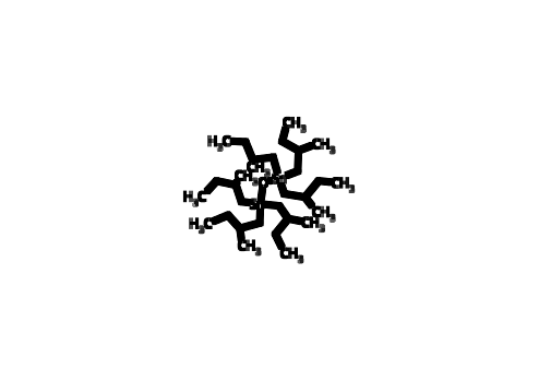 CCC(C)[CH2][Sn]([CH2]C(C)CC)([CH2]C(C)CC)[O][Sn]([CH2]C(C)CC)([CH2]C(C)CC)[CH2]C(C)CC